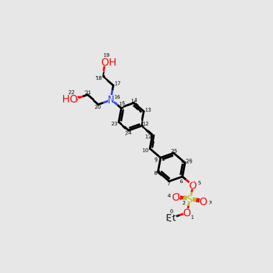 CCOS(=O)(=O)Oc1ccc(C=Cc2ccc(N(CCO)CCO)cc2)cc1